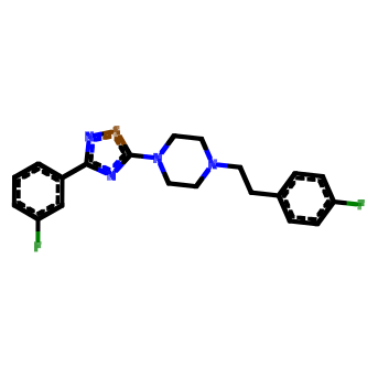 Fc1ccc(CCN2CCN(c3nc(-c4cccc(F)c4)ns3)CC2)cc1